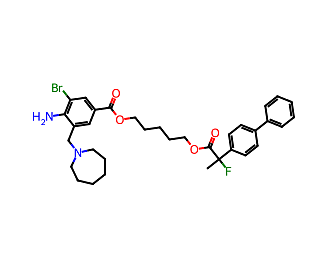 CC(F)(C(=O)OCCCCCOC(=O)c1cc(Br)c(N)c(CN2CCCCCC2)c1)c1ccc(-c2ccccc2)cc1